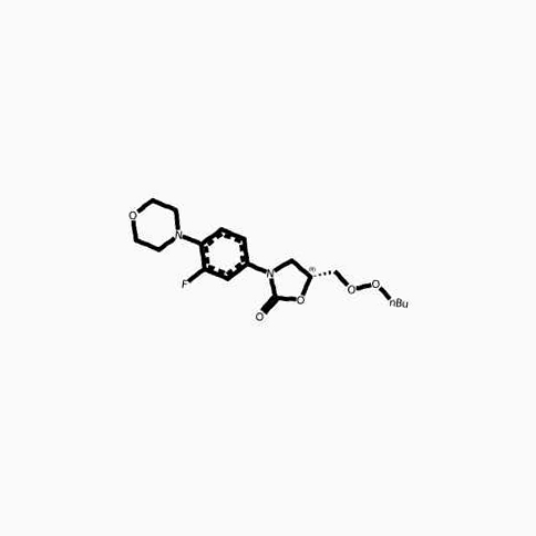 CCCCOOC[C@H]1CN(c2ccc(N3CCOCC3)c(F)c2)C(=O)O1